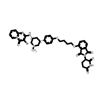 CN1C[C@H](Nc2nc3ccccn3c(=O)c2Br)C[C@H](c2ccc(OCCCCOc3cccc4c3C(=O)N(C3CCC(=O)NC3=O)C4=O)cc2)C1